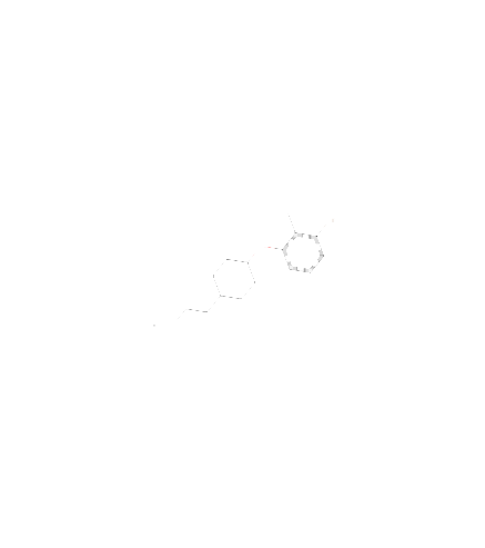 Cc1c(Br)cccc1OC1CCC(CCC(=O)O)CC1